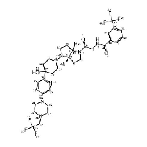 O=C(NCC(=O)N1CC[C@H]2[C@@H]1CCN2C1CCC(O)(c2ccc(N3CCN(CC(F)(F)F)CC3)cn2)CC1)c1cccc(C(F)(F)F)c1